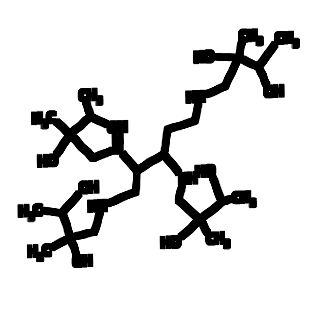 CC(O)C(C)(O)CNCCC(NCC(C)(O)C(C)O)C(CNCC(C)(O)C(C)O)NCC(C)(O)C(C)O